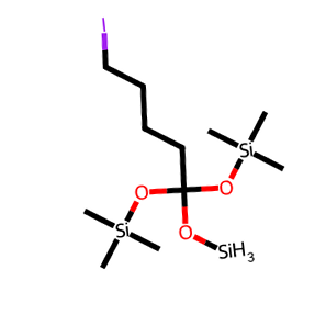 C[Si](C)(C)OC(CCCCI)(O[SiH3])O[Si](C)(C)C